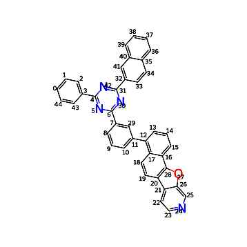 c1ccc(-c2nc(-c3cccc(-c4cccc5c4ccc4c6ccncc6oc54)c3)nc(-c3ccc4ccccc4c3)n2)cc1